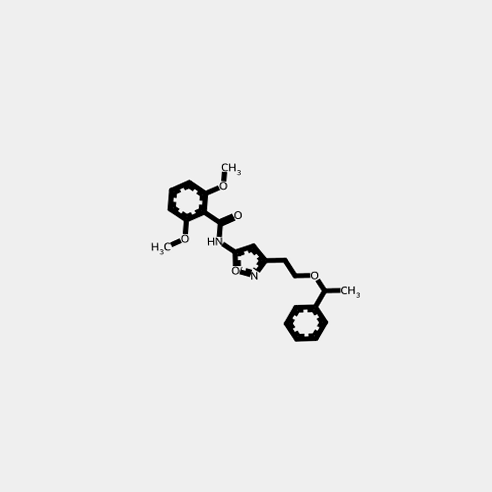 COc1cccc(OC)c1C(=O)Nc1cc(CCOC(C)c2ccccc2)no1